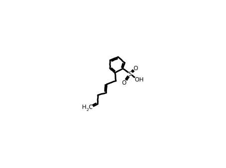 C=CCC=CCc1ccccc1S(=O)(=O)O